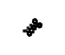 O=C1CCCC(O)=C1C(=O)c1cnc(-c2ccccc2C2CCCCC2)[nH]c1=O